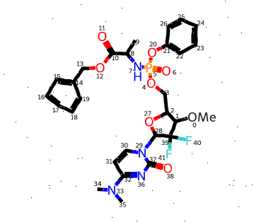 COC1C(COP(=O)(NC(C)C(=O)OCc2ccccc2)Oc2ccccc2)OC(n2ccc(N(C)C)nc2=O)C1(F)F